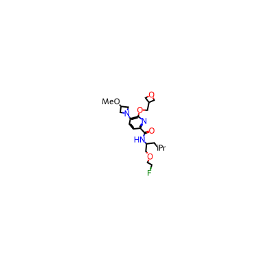 COC1CN(c2ccc(C(=O)NC(COCCF)CC(C)C)nc2OCC2COC2)C1